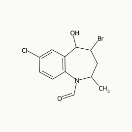 CC1CC(Br)C(O)c2cc(Cl)ccc2N1C=O